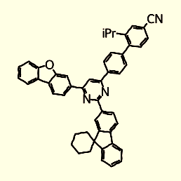 CC(C)c1cc(C#N)ccc1-c1ccc(-c2cc(-c3ccc4c(c3)oc3ccccc34)nc(-c3ccc4c(c3)C3(CCCCC3)c3ccccc3-4)n2)cc1